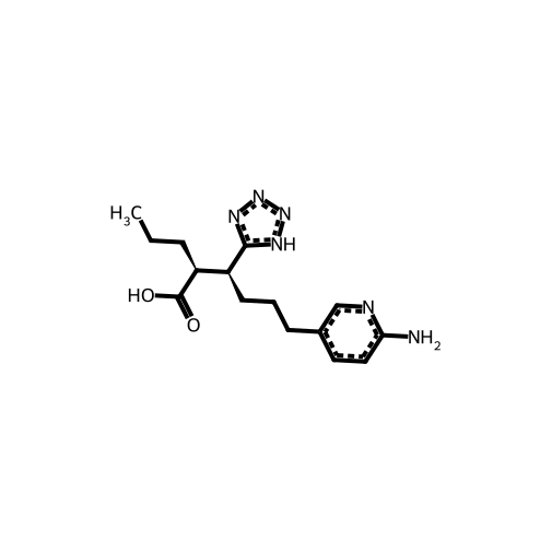 CCC[C@H](C(=O)O)[C@H](CCCc1ccc(N)nc1)c1nnn[nH]1